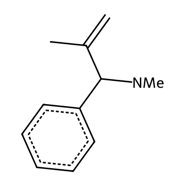 C=C(C)C(NC)c1ccccc1